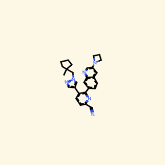 CC1(Cn2cc(-c3ccc(C#N)nc3-c3ccc4cc(N5CCC5)cnc4c3)cn2)CCCC1